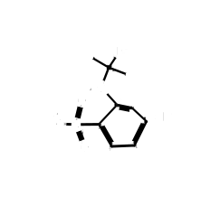 CC(C)(Br)Oc1ccccc1S(=O)(=O)O.Cl